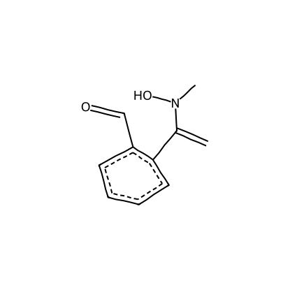 C=C(c1ccccc1C=O)N(C)O